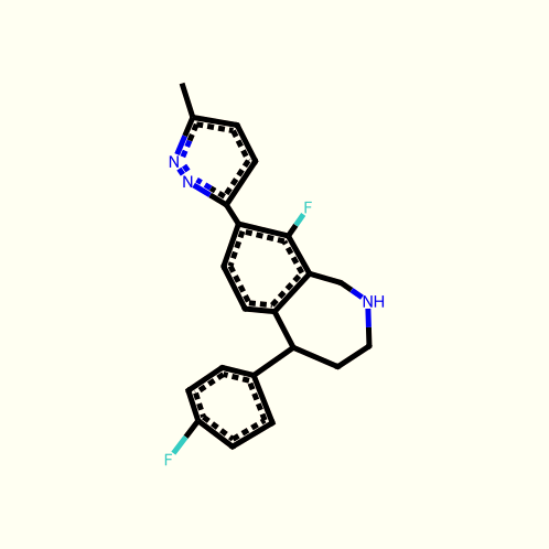 Cc1ccc(-c2ccc3c(c2F)CNCCC3c2ccc(F)cc2)nn1